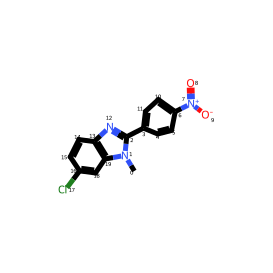 Cn1c(-c2ccc([N+](=O)[O-])cc2)nc2ccc(Cl)cc21